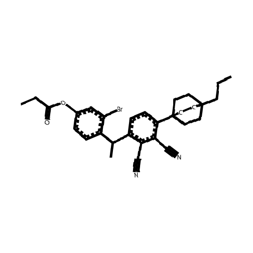 CCCC12CCC(c3ccc(C(C)c4ccc(OC(=O)CC)cc4Br)c(C#N)c3C#N)(CC1)CC2